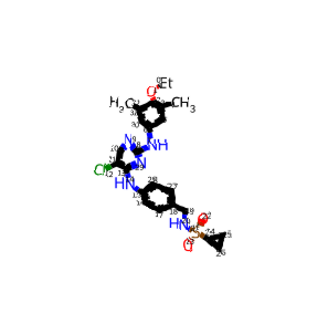 CCOc1c(C)cc(Nc2ncc(Cl)c(Nc3ccc(CNS(=O)(=O)C4CC4)cc3)n2)cc1C